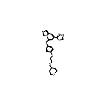 c1nnc(-c2cc(Oc3ccc(OCCOC4CCOCC4)cc3)n3cncc3c2)s1